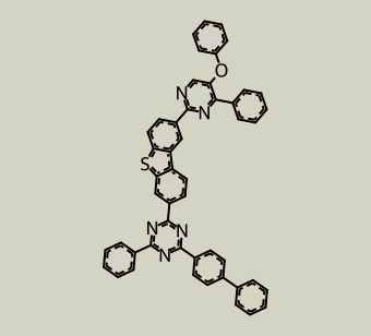 c1ccc(Oc2cnc(-c3ccc4sc5cc(-c6nc(-c7ccccc7)nc(-c7ccc(-c8ccccc8)cc7)n6)ccc5c4c3)nc2-c2ccccc2)cc1